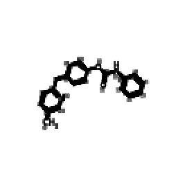 Cc1ccc(Cc2ccc(OC(=O)Nc3ccccc3)cc2)nc1